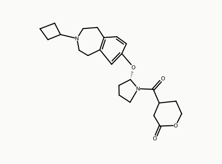 O=C1CC(C(=O)N2CCC[C@@H]2Oc2ccc3c(c2)CCN(C2CCC2)CC3)CCO1